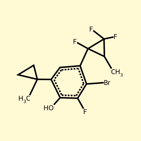 CC1C(F)(F)C1(F)c1cc(C2(C)CC2)c(O)c(F)c1Br